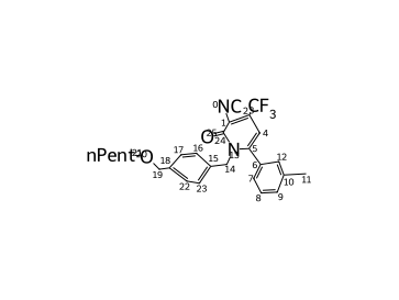 [C-]#[N+]c1c(C(F)(F)F)cc(-c2cccc(C)c2)n(Cc2ccc(COCCCCC)cc2)c1=O